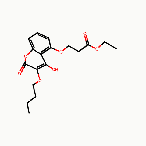 CCCCOc1c(O)c2c(OCCC(=O)OCC)cccc2oc1=O